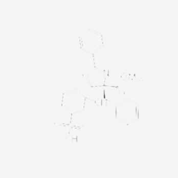 COC(=O)[C@@]1(Cc2ccccc2)N=C(c2ccccc2)O[C@H]1C1(C)C=CC=C(S(C)(=O)=O)C1